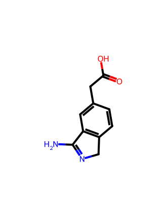 NC1=NCc2ccc(CC(=O)O)cc21